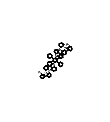 CC(C)c1cccc2c1oc1c(N(c3ccccc3)c3cccc4c3c3cccc5c6c(-c7ccccc7)c7c(c(-c8ccccc8)c6n4c35)c3cccc4c5c(N(c6ccccc6)c6cccc8c6oc6c(C(C)C)cccc68)cccc5n7c43)cccc12